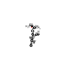 CN(C)C12CC(C3=C(CN4CCN(c5ccc(C(=O)NS(=O)(=O)c6ccc(NCC7CCCCC7)c([N+](=O)[O-])c6)c(Oc6cnc7[nH]ccc7c6)c5)CC4)CCC(C)(C)C3)(C1)C2